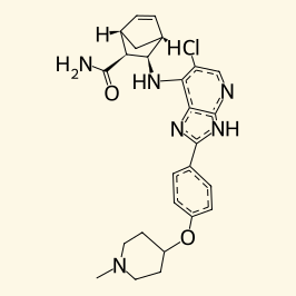 CN1CCC(Oc2ccc(-c3nc4c(N[C@H]5[C@@H](C(N)=O)[C@@H]6C=C[C@H]5C6)c(Cl)cnc4[nH]3)cc2)CC1